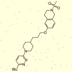 CC(C)(C)c1ccc(N2CCC(CCCOc3ccc4c(c3)CCN(S(C)(=O)=O)C4)CC2)nn1